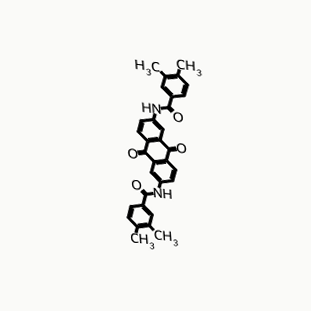 Cc1ccc(C(=O)Nc2ccc3c(c2)C(=O)c2ccc(NC(=O)c4ccc(C)c(C)c4)cc2C3=O)cc1C